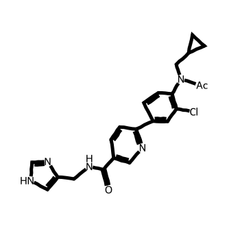 CC(=O)N(CC1CC1)c1ccc(-c2ccc(C(=O)NCc3c[nH]cn3)cn2)cc1Cl